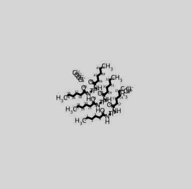 CCCCCC(=O)[NH][Ti+2][NH]C(=O)CCCCC.CCCCCC(=O)[NH][Ti+2][NH]C(=O)CCCCC.CCCCCC(=O)[NH][Ti+2][NH]C(=O)CCCCC.[Cl-].[Cl-].[Cl-].[Cl-].[Cl-].[Cl-]